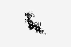 O=C(CCS(=O)(=O)C(F)(F)F)N1CCc2c(cccc2C(O)c2ccc(C(F)(F)F)cc2)C1